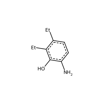 CCc1ccc(N)c(O)c1CC